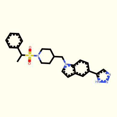 CC(c1ccccc1)S(=O)(=O)N1CCC(Cn2ccc3cc(-c4cnn[nH]4)ccc32)CC1